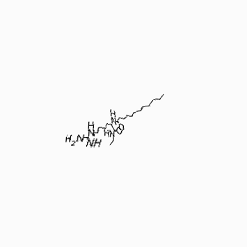 CCCCCCCCCCCC(=O)NC(CCCCNC(=N)N)C(=O)NCC